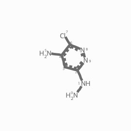 NNc1cc(N)c(Cl)nn1